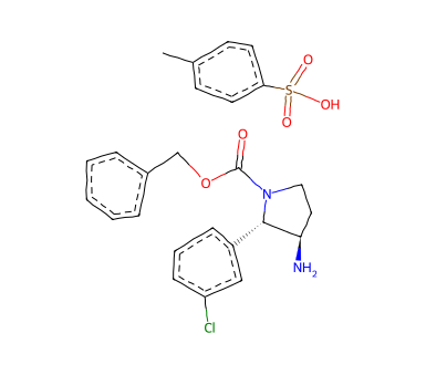 Cc1ccc(S(=O)(=O)O)cc1.N[C@@H]1CCN(C(=O)OCc2ccccc2)[C@H]1c1cccc(Cl)c1